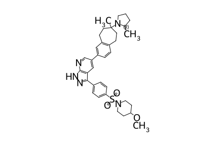 COC1CCN(S(=O)(=O)c2ccc(-c3n[nH]c4ncc(-c5ccc6c(c5)CCC(C)(N5CCC[C@H]5C)CC6)cc34)cc2)CC1